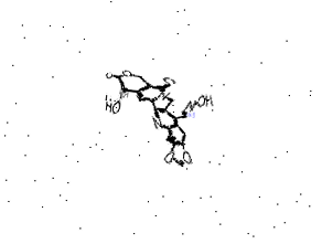 O=C1OCc2c(cc3n(c2=O)Cc2c-3nc3cc4c(cc3c2/C=N/O)OCO4)[C@@H]1O